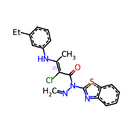 C=NN(C(=O)/C(Cl)=C(\C)Nc1cccc(CC)c1)c1nc2ccccc2s1